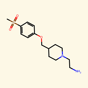 CS(=O)(=O)c1ccc(OCC2CCN(CCN)CC2)cc1